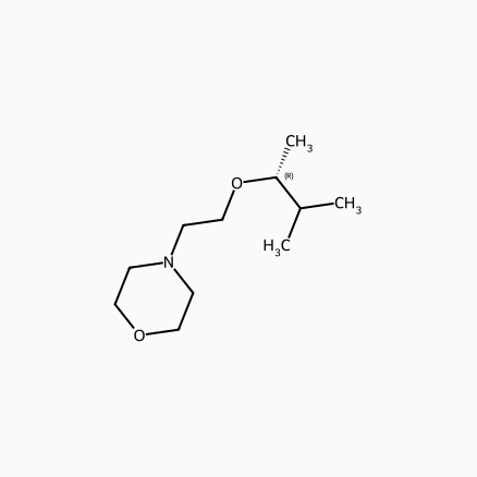 CC(C)[C@@H](C)OCCN1CCOCC1